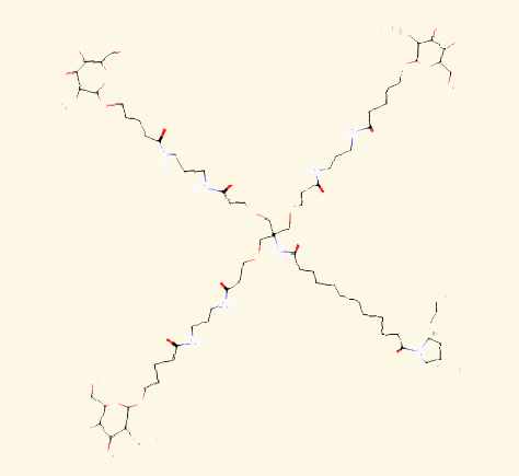 CC(=O)NC1C(OCCCCC(=O)NCCCNC(=O)CCOCC(COCCC(=O)NCCCNC(=O)CCCCOC2OC(CO)C(O)C(O)C2NC(C)=O)(COCCC(=O)NCCCNC(=O)CCCCOC2OC(CO)C(O)C(O)C2NC(C)=O)NC(=O)CCCCCCCCCCC(=O)N2C[C@H](O)C[C@H]2CCC(C)(C)C)OC(CO)C(O)C1O